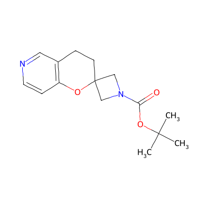 CC(C)(C)OC(=O)N1CC2(CCc3cnccc3O2)C1